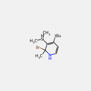 C[SiH](C)C1=C(C(C)(C)C)C=CNC1(C)Br